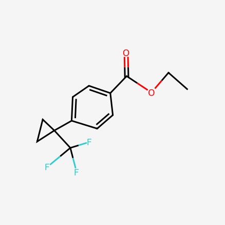 CCOC(=O)c1ccc(C2(C(F)(F)F)CC2)cc1